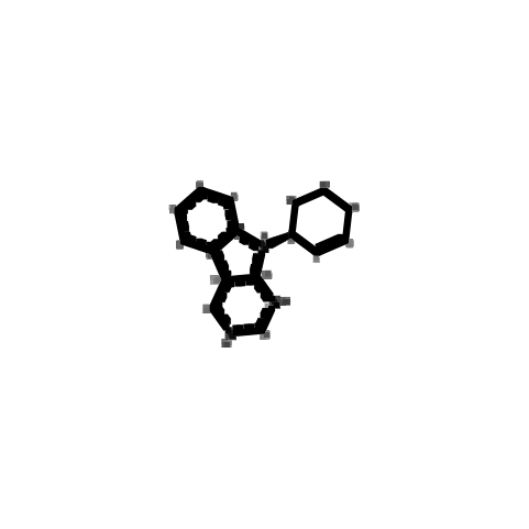 C1=C[C@@H](n2c3ccccc3c3cncnc32)CCC1